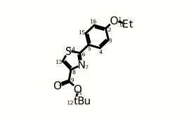 CCOc1ccc(-c2nc(C(=O)OC(C)(C)C)cs2)cc1